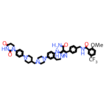 COc1ccc(C(F)(F)F)cc1C(=O)NCc1ccc(-c2nn3c(c2C(N)=O)Nc2ccc(N4CCN(CC5CCN(c6ccc(N7CCC(=O)NC7=O)cc6)CC5)CC4)cc2CC3)cc1